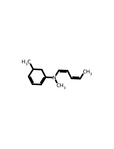 C/C=C\C=C/N(C)C1=CC=CC(C)C1